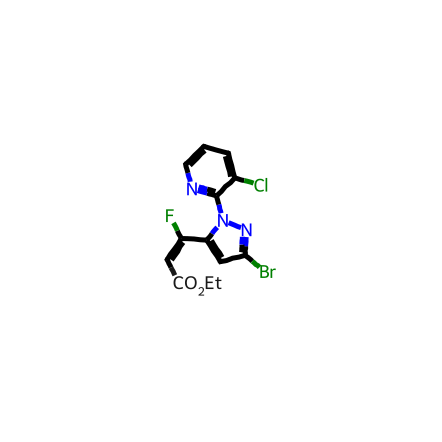 CCOC(=O)/C=C(/F)c1cc(Br)nn1-c1ncccc1Cl